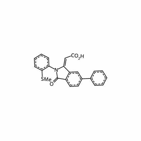 CSc1ccccc1N1C(=O)c2ccc(-c3ccccc3)cc2/C1=C\C(=O)O